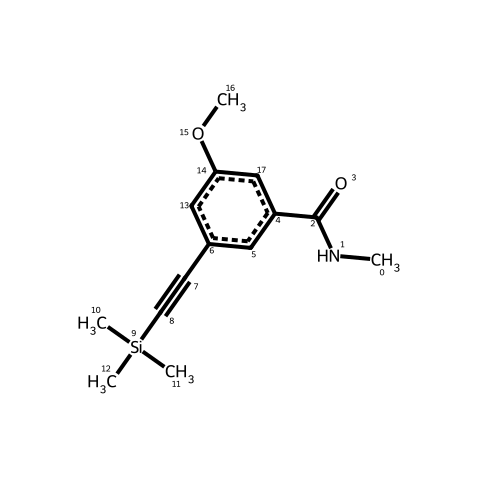 CNC(=O)c1cc(C#C[Si](C)(C)C)cc(OC)c1